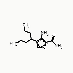 CCCC(CCC)c1cnn(C(N)=O)c1N